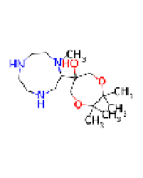 CN1CCNCCNCC1C1(O)COC(C)(C)C(C)(C)OC1